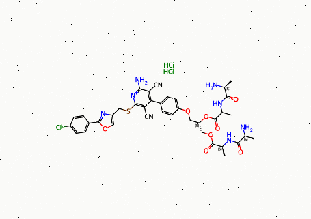 CC(NC(=O)[C@H](C)N)C(=O)O[C@H](COC(=O)[C@H](C)NC(=O)[C@H](C)N)COc1ccc(-c2c(C#N)c(N)nc(SCc3coc(-c4ccc(Cl)cc4)n3)c2C#N)cc1.Cl.Cl